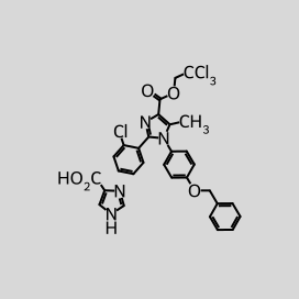 Cc1c(C(=O)OCC(Cl)(Cl)Cl)nc(-c2ccccc2Cl)n1-c1ccc(OCc2ccccc2)cc1.O=C(O)c1c[nH]cn1